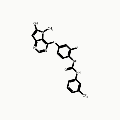 Cn1c(O)cc2ncnc(Oc3ccc(NC(=O)Nc4cccc(C(F)(F)F)c4)c(F)c3)c21